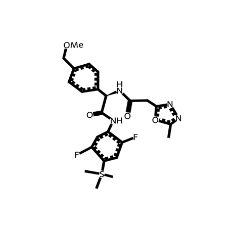 COCc1ccc([C@@H](NC(=O)Cc2nnc(C)o2)C(=O)Nc2cc(F)c(S(C)(C)C)cc2F)cc1